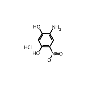 Cl.Nc1cc([N+](=O)[O-])c(O)cc1O